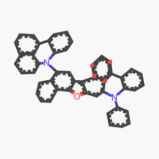 c1ccc(-c2ccccc2N(c2ccccc2)c2cc3c(oc4cc(N(c5ccccc5)c5ccccc5-c5ccccc5)c5ccccc5c43)c3ccccc23)cc1